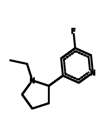 CCN1CCCC1c1cncc(F)c1